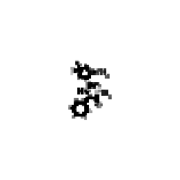 CC(=O)[C@@H](NC(=O)[C@@H]1CC(F)(F)CN1C)C1CCCCC1